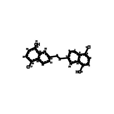 Oc1ccc(Cl)c2ccc(CCc3ccc4c(Cl)ccc(O)c4n3)nc12